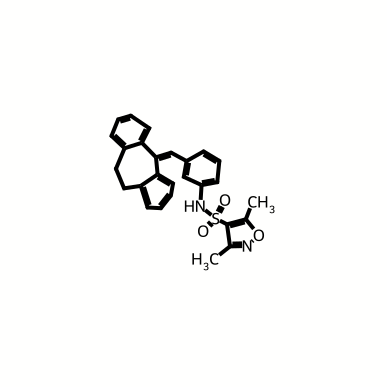 Cc1noc(C)c1S(=O)(=O)Nc1cccc(C=C2c3ccccc3CCc3ccccc32)c1